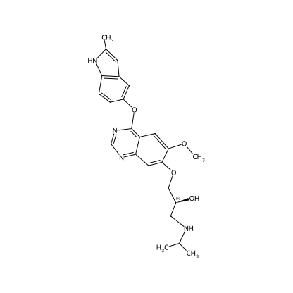 COc1cc2c(Oc3ccc4[nH]c(C)cc4c3)ncnc2cc1OC[C@@H](O)CNC(C)C